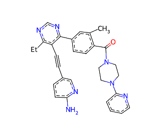 CCc1ncnc(-c2ccc(C(=O)N3CCN(c4ccccn4)CC3)c(C)c2)c1C#Cc1ccc(N)nc1